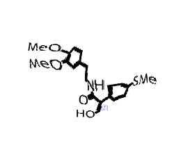 COc1ccc(CCNC(=O)/C(=C\O)c2ccc(SC)cc2)cc1OC